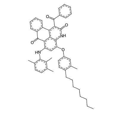 CCCCCCCCc1ccc(Oc2cc(Nc3c(C)ccc(C)c3C)c3c4c(c(C(=O)c5ccccc5)c(=O)[nH]c24)-c2ccccc2C3=O)cc1C